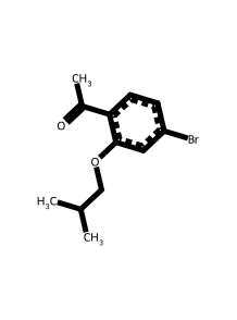 CC(=O)c1ccc(Br)cc1OCC(C)C